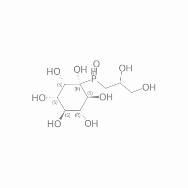 O=[PH](CC(O)CO)[C@@]1(O)[C@@H](O)[C@H](O)[C@@H](O)[C@H](O)[C@@H]1O